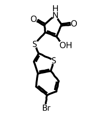 O=C1NC(=O)C(Sc2cc3cc(Br)ccc3s2)=C1O